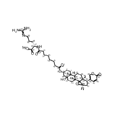 C[C@]12CC[C@H](OC(=O)CCCCCCC(=O)N[C@@H](CCCN=C(N)N)C(=O)O)C[C@@]1(O)CC[C@@H]1[C@@H]2CC[C@]2(C)[C@@H](c3ccc(=O)oc3)C[C@H]3O[C@]132